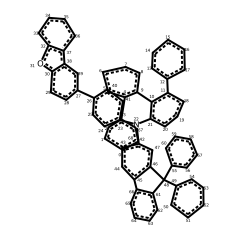 c1ccc(-c2ccccc2-c2c(-c3ccccc3)cccc2N(c2ccc(-c3ccc4oc5ccccc5c4c3)cc2)c2ccc3c(c2)C(c2ccccc2)(c2ccccc2)c2ccccc2-3)cc1